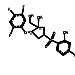 N#Cc1cc(Cl)ccc1S(=O)(=O)N1C[C@H](Oc2cc(F)c(F)cc2F)[C@](O)(CO)C1